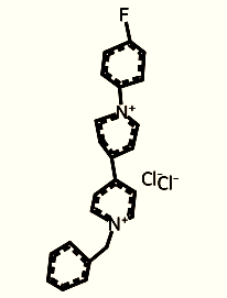 Fc1ccc(-[n+]2ccc(-c3cc[n+](Cc4ccccc4)cc3)cc2)cc1.[Cl-].[Cl-]